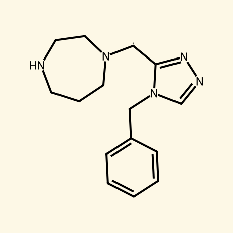 [CH](c1nncn1Cc1ccccc1)N1CCCNCC1